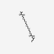 CCCC(C)CNC(=O)COCCOCCOCCOCCOCCNC(=O)C(C)C